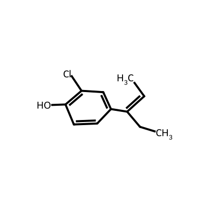 C/C=C(/CC)c1ccc(O)c(Cl)c1